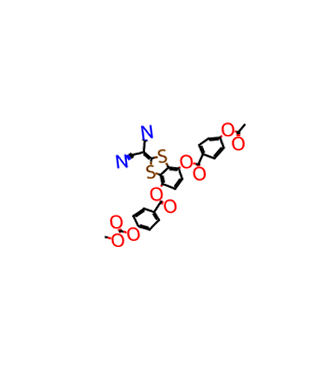 COC(=O)Oc1ccc(C(=O)Oc2ccc(OC(=O)c3ccc(OC(C)=O)cc3)c3c2SC(=C(C#N)C#N)S3)cc1